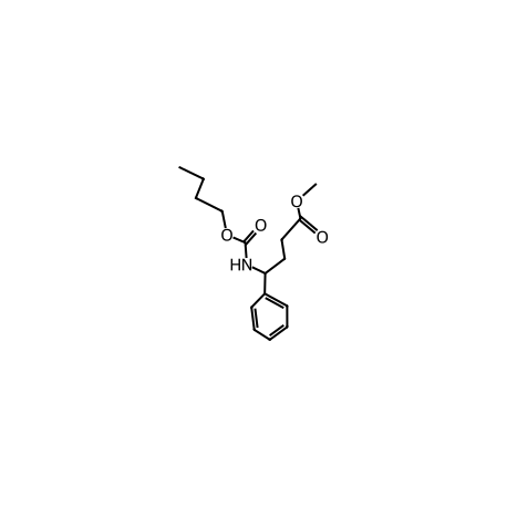 CCCCOC(=O)NC(CCC(=O)OC)c1ccccc1